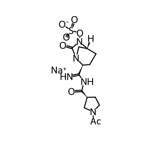 CC(=O)N1CC[C@H](C(=O)NC(=N)[C@@H]2CC[C@@H]3CN2C(=O)N3OS(=O)(=O)[O-])C1.[Na+]